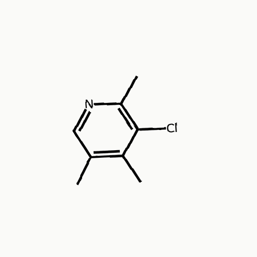 Cc1cnc(C)c(Cl)c1C